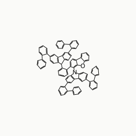 c1ccc(-c2ccccc2-c2ccc3c(c2)-c2cc(-c4ccccc4-c4ccccc4)ccc2C3c2ccccc2-c2ccc3c(oc4ccccc43)c2-n2c3ccc(-c4ccccc4-c4ccccc4)cc3c3cc(-c4ccccc4-c4ccccc4)ccc32)cc1